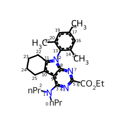 CCCN(CCC)c1nc(C(=O)OCC)nc2c1c1c(n2-c2c(C)cc(C)cc2C)CCCC1